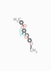 CCCCOc1ccc(C2CCC(c3ccc(OC(=O)c4ccc(C)cc4)c(F)c3C(F)(F)F)CO2)cc1